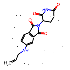 C=CCNc1ccc2c(c1)C(=O)N(C1CCC(=O)NC1=O)C2=O